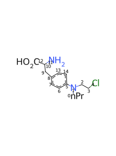 CCCN(CCCl)c1ccc(CC(N)C(=O)O)cc1